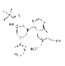 COc1cc2ncnc(N3C[C@@H](NC(=O)C(F)(F)F)C[C@@H](c4ccccc4)C3)c2cc1OC